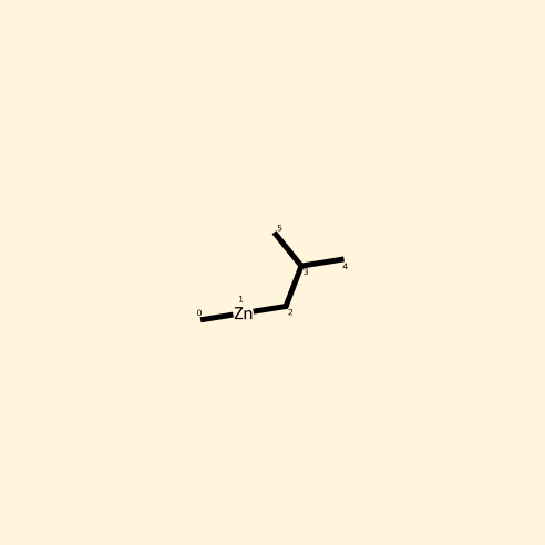 [CH3][Zn][CH2]C(C)C